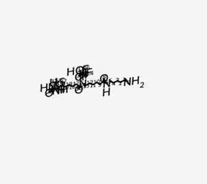 NCCCCCNC(=O)CCCCCNC(=O)CCCCC1SC[C@@H]2NC(=O)N[C@H]12.O=C(O)C(F)(F)F